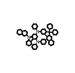 c1ccc(N(c2ccc3c(c2)-c2cc4ccccc4cc2C3(c2ccccc2)c2ccccc2)c2cc(N(c3ccccc3)c3ccccc3)c3c4ccccc4n(-c4ccc5ccccc5c4)c3c2)cc1